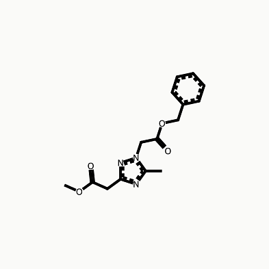 COC(=O)Cc1nc(C)n(CC(=O)OCc2ccccc2)n1